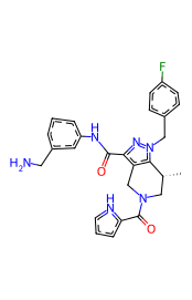 C[C@@H]1CN(C(=O)c2ccc[nH]2)Cc2c(C(=O)Nc3cccc(CN)c3)nn(Cc3ccc(F)cc3)c21